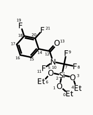 CCO[Si](OCC)(OCC)C(F)(F)N(F)C(=O)c1cccc(F)c1F